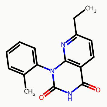 CCc1ccc2c(=O)[nH]c(=O)n(-c3ccccc3C)c2n1